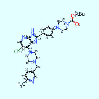 CC(C)(C)OC(=O)N1CCN(c2ccc(-c3nc4c(N5CCN(Cc6ccc(C(F)(F)F)nc6)CC5)c(Cl)cnc4[nH]3)cc2)CC1